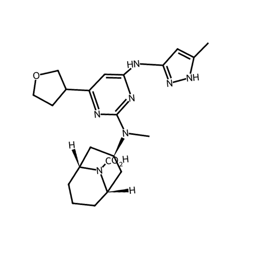 Cc1cc(Nc2cc(C3CCOC3)nc(N(C)[C@@H]3C[C@H]4CCC[C@@H](C3)N4C(=O)O)n2)n[nH]1